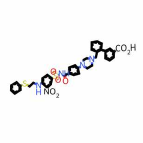 O=C(O)c1cccc(-c2ccccc2CN2CCN(c3ccc(C(=O)NS(=O)(=O)c4ccc(NCCSc5ccccc5)c([N+](=O)[O-])c4)cc3)CC2)c1